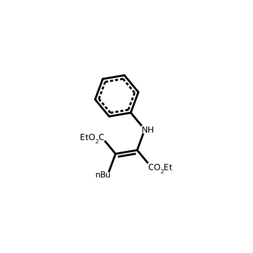 CCCCC(C(=O)OCC)=C(Nc1ccccc1)C(=O)OCC